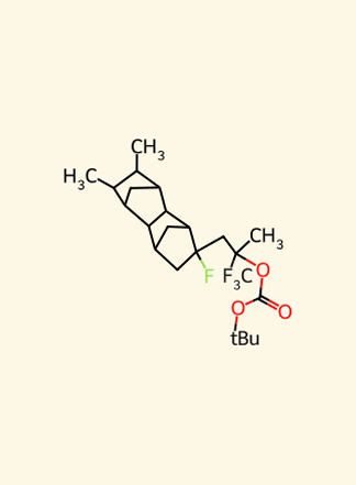 CC1C(C)C2CC1C1C3CC(C21)C(F)(CC(C)(OC(=O)OC(C)(C)C)C(F)(F)F)C3